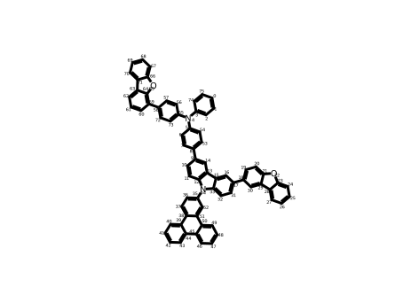 c1ccc(N(c2ccc(-c3ccc4c(c3)c3cc(-c5ccc6oc7ccccc7c6c5)ccc3n4-c3ccc4c5ccccc5c5ccccc5c4c3)cc2)c2ccc(-c3cccc4c3oc3ccccc34)cc2)cc1